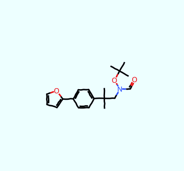 CC(C)(C)ON(C=O)CC(C)(C)c1ccc(-c2ccco2)cc1